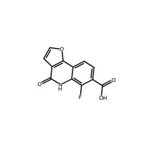 O=C(O)c1ccc2c([nH]c(=O)c3ccoc32)c1F